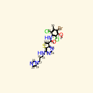 COc1c(Cl)c(NC(=O)c2csc3c(NCCCn4ccnc4)ncnc23)c(Cl)c(C)c1Br